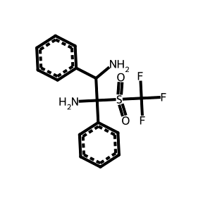 NC(c1ccccc1)C(N)(c1ccccc1)S(=O)(=O)C(F)(F)F